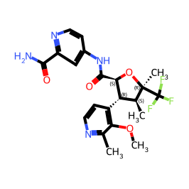 COc1c([C@@H]2[C@@H](C(=O)Nc3ccnc(C(N)=O)c3)O[C@@](C)(C(F)(F)F)[C@H]2C)ccnc1C